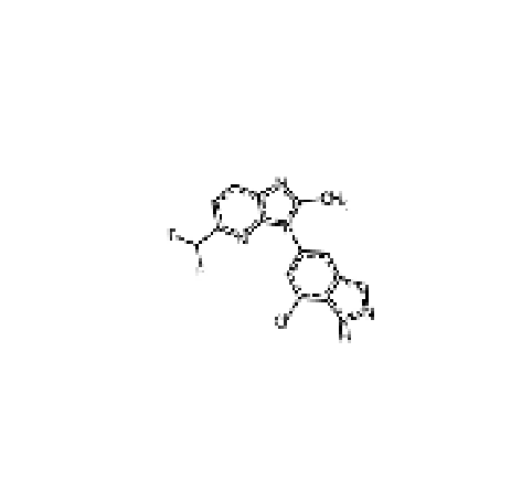 Cc1nc2ccc(C(F)F)nc2n1-c1cc(Cl)c2[nH]ncc2c1